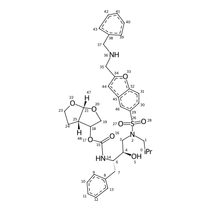 CC(C)CN(C[C@@H](O)[C@H](Cc1ccccc1)NC(=O)OC1CO[C@H]2OCC[C@@H]12)S(=O)(=O)c1ccc2oc(CNCc3ccccc3)cc2c1